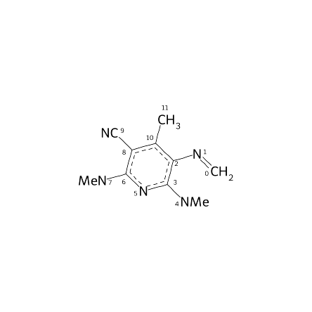 C=Nc1c(NC)nc(NC)c(C#N)c1C